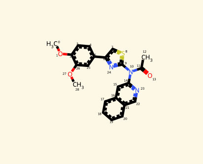 COc1ccc(-c2csc(N(C(C)=O)c3cc4ccccc4cn3)n2)cc1OC